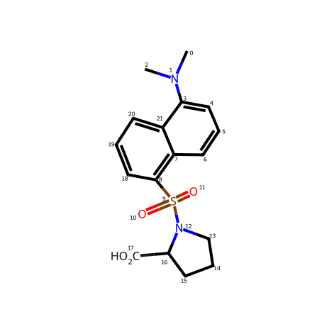 CN(C)c1cccc2c(S(=O)(=O)N3CCCC3C(=O)O)cccc12